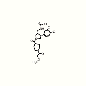 COCC(=O)N1CCC(C(=O)N2C[C@@H](CNC(=O)O)[C@@H](c3ccc(Cl)c(Cl)c3)C2)CC1